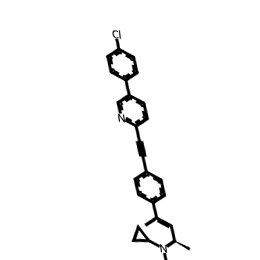 CC(=C[C@@H](C)N(C)C1CC1)c1ccc(C#Cc2ccc(-c3ccc(Cl)cc3)cn2)cc1